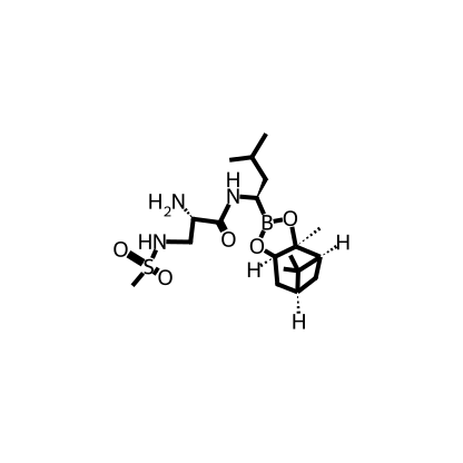 CC(C)C[C@H](NC(=O)[C@@H](N)CNS(C)(=O)=O)B1O[C@@H]2C[C@@H]3C[C@@H](C3(C)C)[C@]2(C)O1